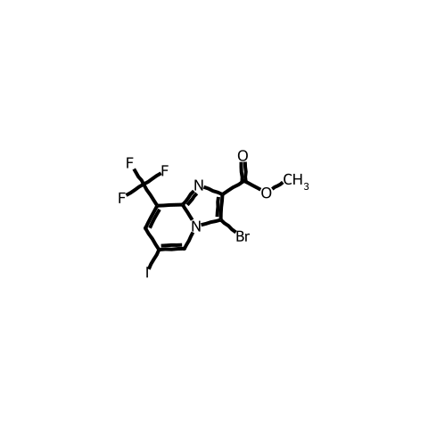 COC(=O)c1nc2c(C(F)(F)F)cc(I)cn2c1Br